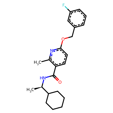 Cc1nc(OCc2cccc(F)c2)ccc1C(=O)N[C@H](C)C1CCCCC1